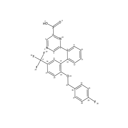 O=C(O)c1cncc(-c2ccccc2-c2cc(C(F)(F)F)ccc2OCc2ccc(F)cc2)n1